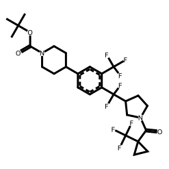 CC(C)(C)OC(=O)N1CCC(c2ccc(C(F)(F)C3CCN(C(=O)C4(C(F)(F)F)CC4)C3)c(C(F)(F)F)c2)CC1